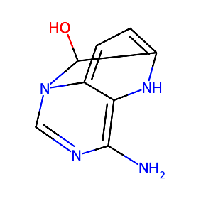 NC1=C2NC3=CC=C2N(C=N1)C3O